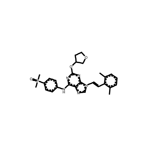 Cc1cccc(C)c1C=Cn1cnc2c(Nc3ccc(P(C)(C)=O)cc3)nc(OC3CCOC3)nc21